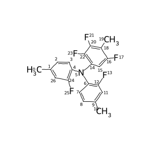 Cc1ccc(N(c2ccc(C)cc2F)c2cc(F)c(C)c(F)c2F)c(F)c1